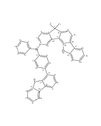 CC1(C)c2ccc(N(c3ccccc3)c3ccc(-c4cccc5c4sc4ccccc45)cc3)cc2-c2c1ccc1c2oc2ccccc21